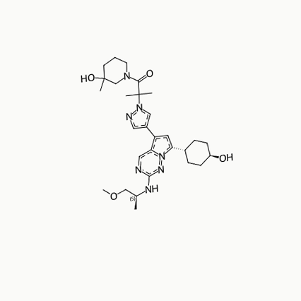 COC[C@H](C)Nc1ncc2c(-c3cnn(C(C)(C)C(=O)N4CCCC(C)(O)C4)c3)cc([C@H]3CC[C@H](O)CC3)n2n1